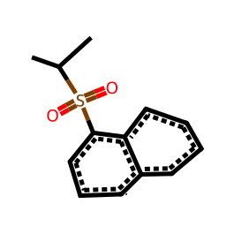 CC(C)S(=O)(=O)c1cc[c]c2ccccc12